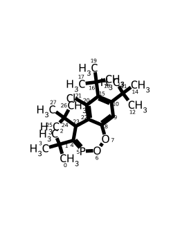 CC(C)(C)C1=POOc2cc(C(C)(C)C)c(C(C)(C)C)c(Cl)c2C1C(C)(C)C